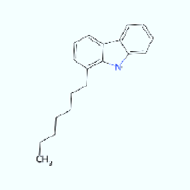 CCCCCCCc1cccc2c1[N]c1ccccc1-2